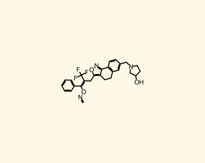 C=NO/C(=C(\Cc1onc2c1CCc1cc(CN3CCC(O)C3)ccc1-2)C(F)(F)F)c1ccccc1